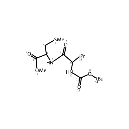 COC(=O)C(CSC)NC(=O)C(NC(=O)OC(C)(C)C)C(C)C